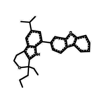 CCCC1(CC)OCCc2c1[nH]c1c(-c3ccc4c(c3)oc3ccccc34)cc(C(C)C)cc21